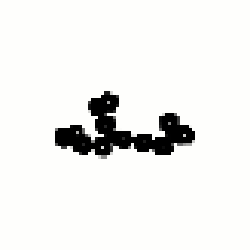 c1cc(-c2ccc3c(c2)oc2ccccc23)cc(N(c2ccc(-c3ccc(-c4cccc(-n5c6ccccc6c6ccccc65)c4)cc3)cc2)c2ccc(-c3cccc4ccccc34)cc2)c1